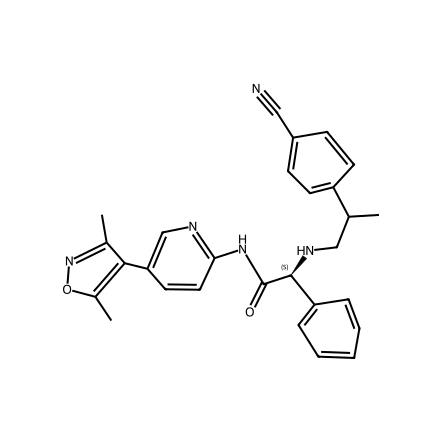 Cc1noc(C)c1-c1ccc(NC(=O)[C@@H](NCC(C)c2ccc(C#N)cc2)c2ccccc2)nc1